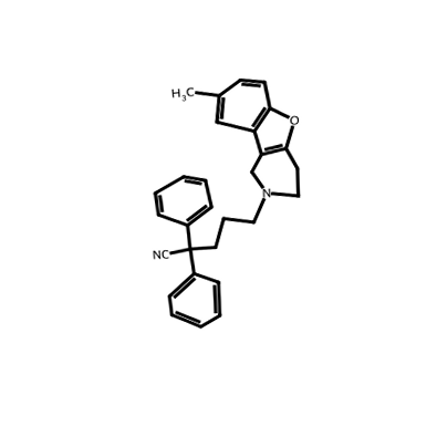 Cc1ccc2oc3c(c2c1)CN(CCCC(C#N)(c1ccccc1)c1ccccc1)CC3